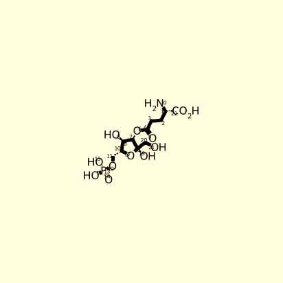 N[C@@H](CCC(=O)O[C@H]1[C@H](O)[C@@H](COP(=O)(O)O)O[C@]1(O)CO)C(=O)O